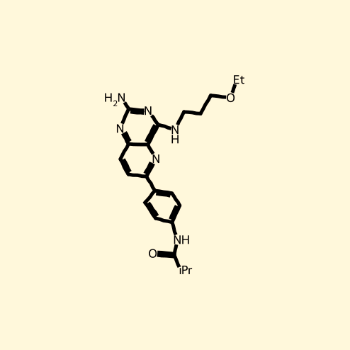 CCOCCCNc1nc(N)nc2ccc(-c3ccc(NC(=O)C(C)C)cc3)nc12